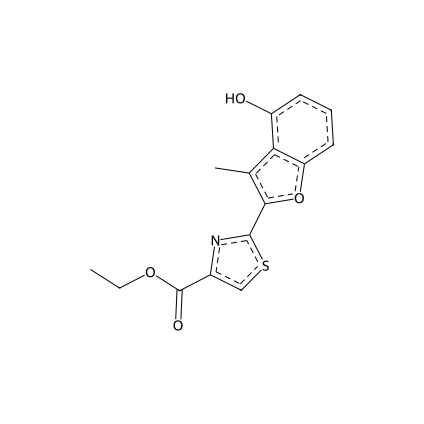 CCOC(=O)c1csc(-c2oc3cccc(O)c3c2C)n1